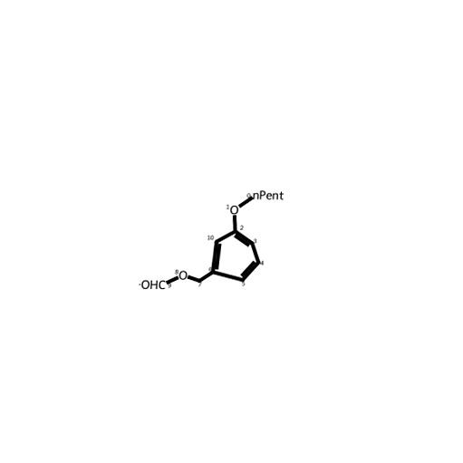 CCCCCOc1cccc(CO[C]=O)c1